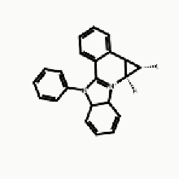 I[C@H]1C2c3ccccc3C3=[N+](C4C=CC=CC4N3c3ccccc3)[C@@H]21